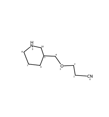 N#CCCOCC1CCCNC1